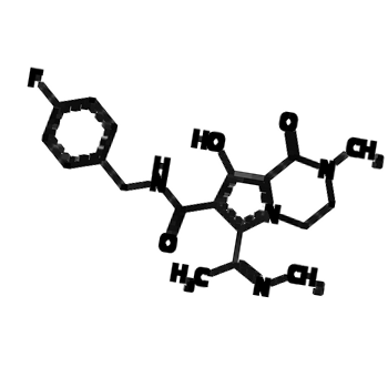 C/N=C(/C)c1c(C(=O)NCc2ccc(F)cc2)c(O)c2n1CCN(C)C2=O